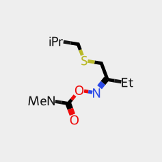 CCC(CSCC(C)C)=NOC(=O)NC